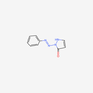 O=c1cc[nH]n1N=Nc1ccccc1